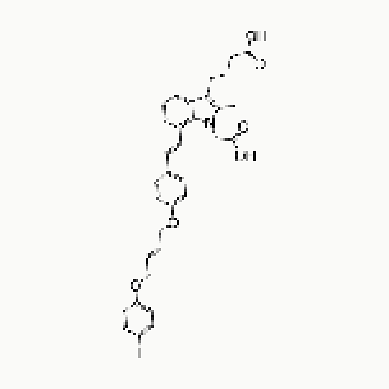 Cc1c(CCCC(=O)O)c2cccc(C=Cc3ccc(OCC=CCOc4ccc(F)cc4)cc3)c2n1CC(=O)O